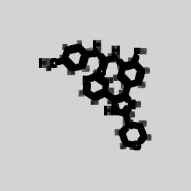 Cc1ccc(NC(=O)Nc2cc(-c3nc(N4CCOCC4)[nH]c3-c3ccncc3)ccc2F)cc1